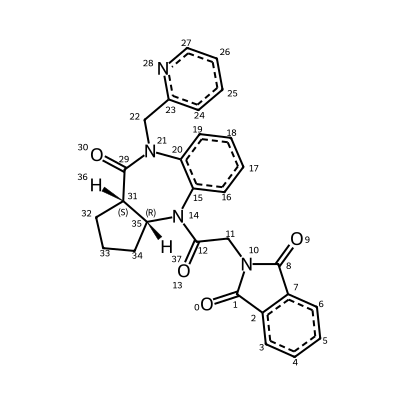 O=C1c2ccccc2C(=O)N1CC(=O)N1c2ccccc2N(Cc2ccccn2)C(=O)[C@H]2CCC[C@H]21